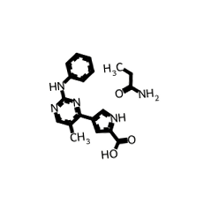 CCC(N)=O.Cc1cnc(Nc2ccccc2)nc1-c1c[nH]c(C(=O)O)c1